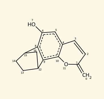 C=C1C=Cc2cc(O)c3c(c2O1)C1CCC3C1